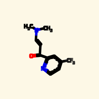 CN(C)C=CC(=O)c1cc(C(F)(F)F)ccn1